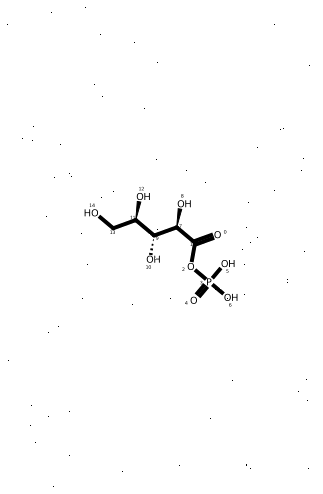 O=C(OP(=O)(O)O)[C@H](O)[C@H](O)[C@H](O)CO